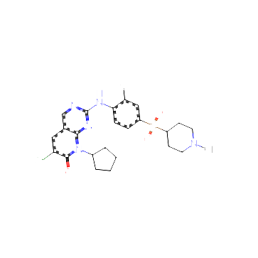 Cc1cc(S(=O)(=O)C2CCN(C)CC2)ccc1Nc1ncc2cc(Cl)c(=O)n(C3CCCC3)c2n1